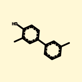 Cc1cccc(-c2ccc(O)c(C)c2)c1